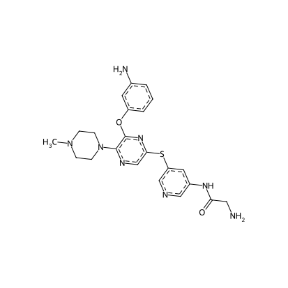 CN1CCN(c2ncc(Sc3cncc(NC(=O)CN)c3)nc2Oc2cccc(N)c2)CC1